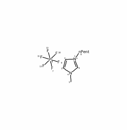 CCCCC[n+]1ccn(C)c1.F[P-](F)(F)(F)(F)F